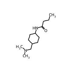 CCCC(=O)NC1CCC(CN(C)C)CC1